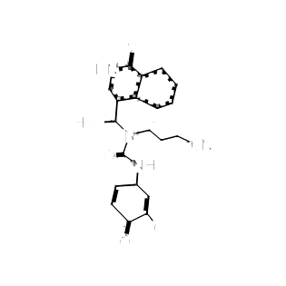 CC(c1c[nH]c(=O)c2ccccc12)N(CCCC#N)C(=O)NC1C=CC(=O)C(Cl)=C1